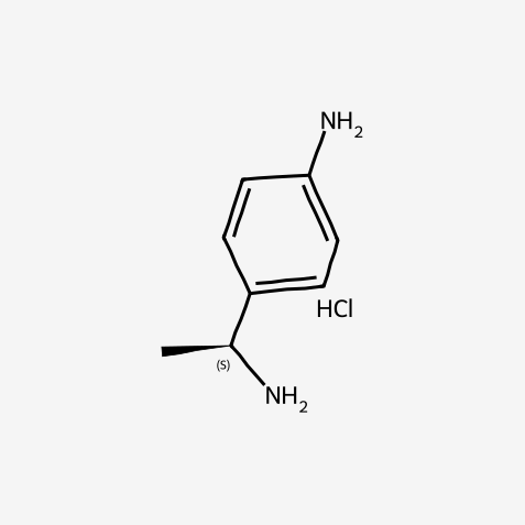 C[C@H](N)c1ccc(N)cc1.Cl